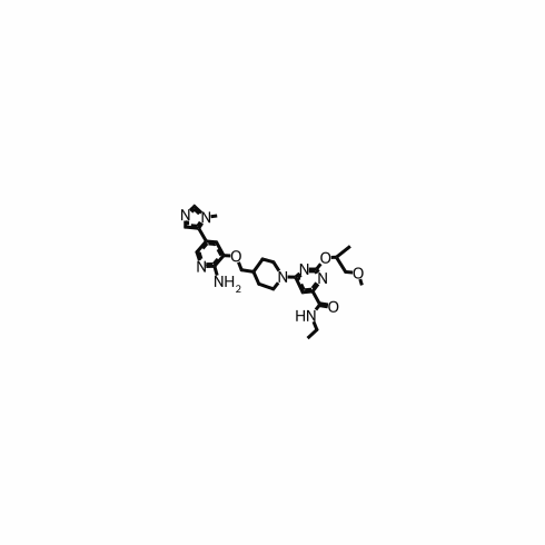 CCNC(=O)c1cc(N2CCC(COc3cc(-c4cncn4C)cnc3N)CC2)nc(OC(C)COC)n1